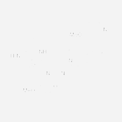 COC[C@@H](C)Oc1nc(C(=O)NC(C)C(C)(C)N)cc(N2CCC(C3=CCc4nccc(OC)c43)CC2)n1